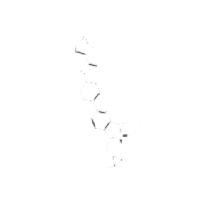 CN1c2nc(C3=CCC(NC(=O)c4csnn4)CC3)ccc2N(CC2CC2(F)F)S1(=O)=O